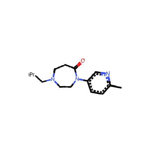 Cc1ccc(N2CCN(CC(C)C)CCC2=O)cn1